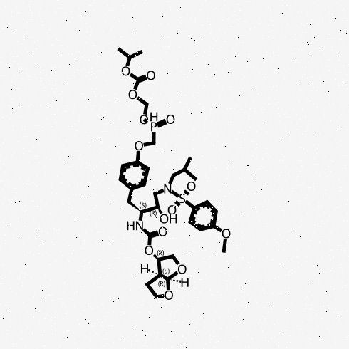 COc1ccc(S(=O)(=O)N(CC(C)C)C[C@@H](O)[C@H](Cc2ccc(OC[PH](=O)OCOC(=O)OC(C)C)cc2)NC(=O)O[C@H]2CO[C@H]3OCC[C@H]32)cc1